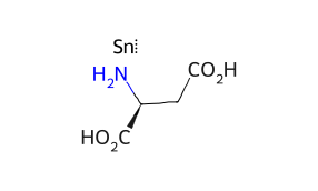 N[C@@H](CC(=O)O)C(=O)O.[Sn]